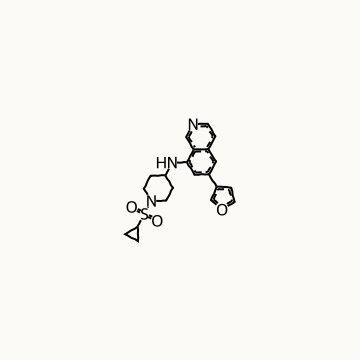 O=S(=O)(C1CC1)N1CCC(Nc2cc(-c3ccoc3)cc3ccncc23)CC1